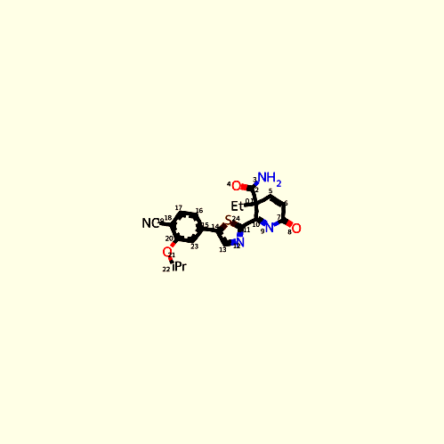 CCC1(C(N)=O)C=CC(=O)N=C1c1ncc(-c2ccc(C#N)c(OC(C)C)c2)s1